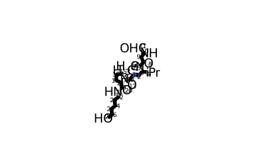 C/C(=C\C(C(C)C)N(C)C(=O)CNC=O)C(=O)N1CCCC1C(=O)NCCCCCO